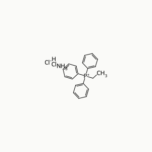 CC[P+](c1ccccc1)(c1ccccc1)c1ccccc1.Cl.N.[Cl-]